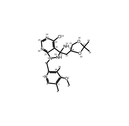 COc1c(C)cnc(CN2NC(N)(CC3COC(C)(C)O3)c3c(Cl)ncnc32)c1C